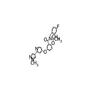 Cn1cc(-c2cc(Oc3ccc4c(c3)C(=O)N(Cc3ccc(F)cc3)C(C)(C)O4)ccn2)cn1